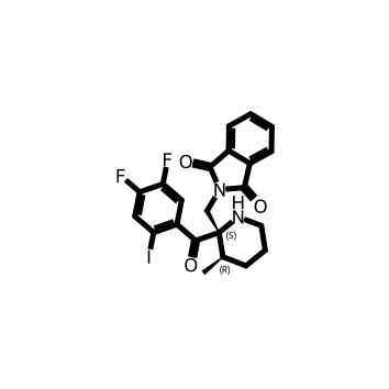 C[C@@H]1CCCN[C@@]1(CN1C(=O)c2ccccc2C1=O)C(=O)c1cc(F)c(F)cc1I